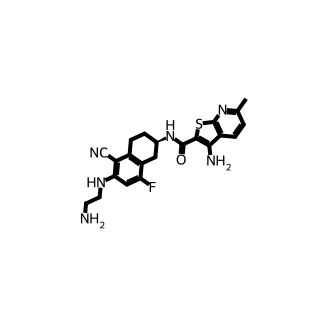 Cc1ccc2c(N)c(C(=O)N[C@@H]3CCc4c(C#N)c(NCCN)cc(F)c4C3)sc2n1